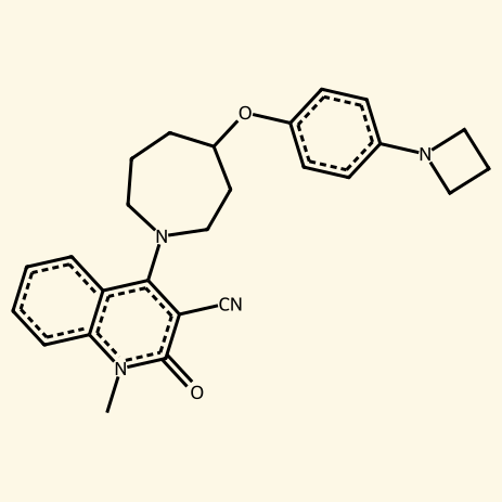 Cn1c(=O)c(C#N)c(N2CCCC(Oc3ccc(N4CCC4)cc3)CC2)c2ccccc21